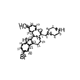 O=C(CN1CCNCC1)N1CCc2c([nH]c3ccc(Br)cc23)C1c1cccc(O)c1